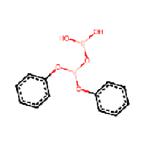 OB(O)OB(Oc1ccccc1)Oc1ccccc1